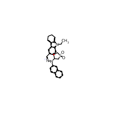 CCn1c2c(c3cc(/C=N\N(c4ccc5ccccc5c4)C4CCS(=O)(=O)C4)ccc31)=CCCC=2